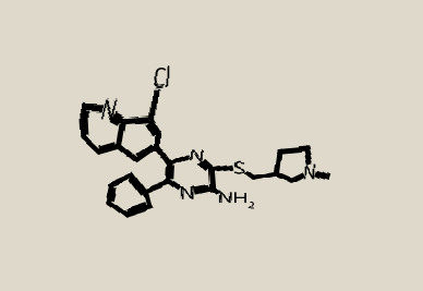 CN1CCC(CSc2nc(-c3cc(Cl)c4ncccc4c3)c(-c3ccccc3)nc2N)C1